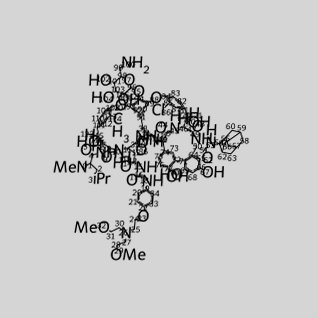 CN[C@H](CC(C)C)C(=O)N[C@H]1C(=O)N[C@@H](CC(=O)NC(=O)Nc2ccc(OCCN(CCOC)CCOC)cc2)C(=O)NC2C(=O)N[C@H]3C(=O)N[C@H](C(=O)N[C@H](C(=O)NC4C5CC6CC(C5)CC4C6)c4cc(O)cc(O)c4-c4cc3ccc4O)[C@H](O)c3ccc(c(Cl)c3)Oc3cc2cc(c3O[C@@H]2O[C@H](CN)[C@@H](O)[C@H](O)[C@H]2O)Oc2ccc(cc2C)[C@H]1O